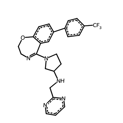 FC(F)(F)c1ccc(-c2ccc3c(c2)C(N2CCC(NCc4ncccn4)C2)=NCCO3)cc1